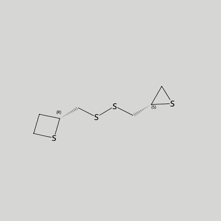 C1C[C@H](CSSC[C@@H]2CS2)S1